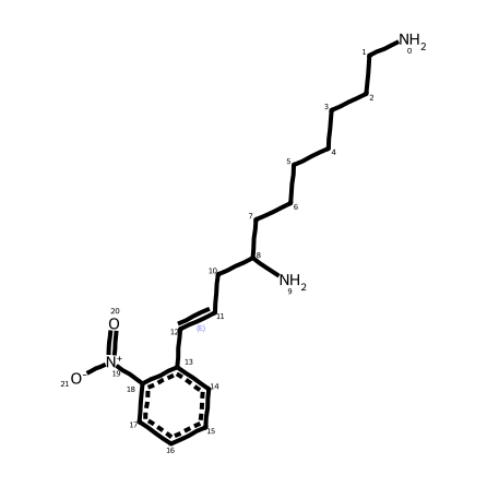 NCCCCCCCC(N)C/C=C/c1ccccc1[N+](=O)[O-]